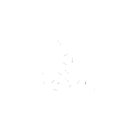 CCOC(=O)C1=C[C@@](NC(=O)c2ccc(Cl)s2)(C(=O)Nc2ccc3c(c2)CCN(C)CC3)CC=C1